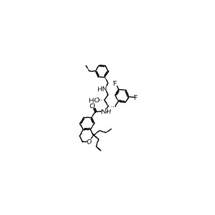 CCCC1(CCC)OCCc2ccc(C(=O)N[C@@H](Cc3cc(F)cc(F)c3)[C@H](O)CNCc3cccc(CC)c3)cc21